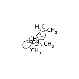 CC1C(OC2CC3CCC2(C)C3(C)C)CC2CC1C2(C)C